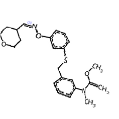 C=C(OC)N(C)c1cccc(CSc2cccc(O/N=C\C3CCOCC3)c2)c1